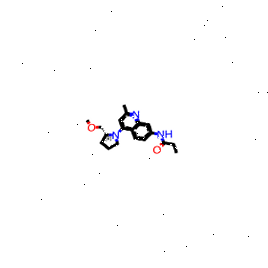 CCC(=O)Nc1ccc2c(N3CCC[C@@H]3COC)cc(C)nc2c1